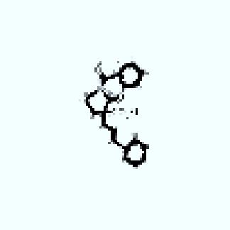 CCOC(=O)[C@@]1(C/C=C/c2ccccc2)CCCN(C(=O)c2ccccc2)C1=O